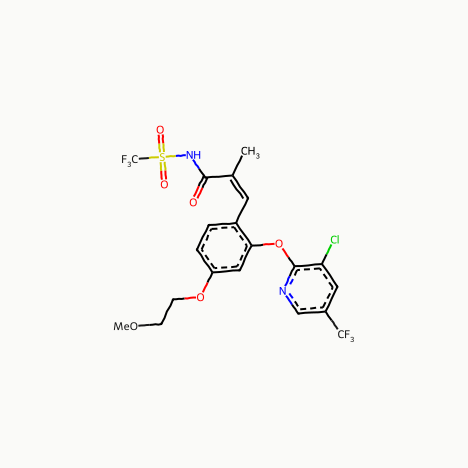 COCCOc1ccc(C=C(C)C(=O)NS(=O)(=O)C(F)(F)F)c(Oc2ncc(C(F)(F)F)cc2Cl)c1